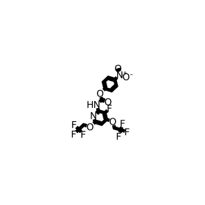 O=C(Nc1nc(OCC(F)(F)F)cc(OCC(F)(F)F)c1F)Oc1ccc([N+](=O)[O-])cc1